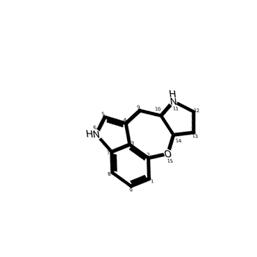 c1cc2c3c(c[nH]c3c1)CC1NCCC1O2